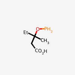 CCC(C)(CC(=O)O)OP